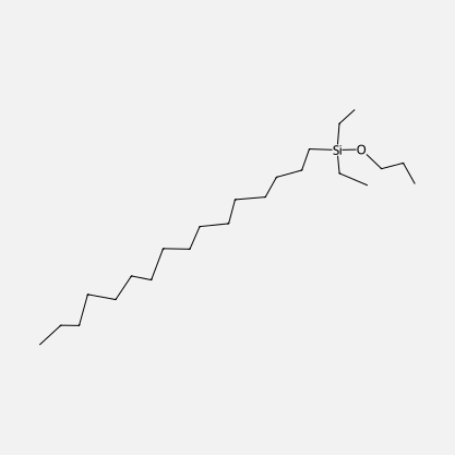 CCCCCCCCCCCCCCCC[Si](CC)(CC)OCCC